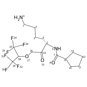 NCCCC[C@H](NC(=O)C1CCCC1)C(=O)COC(C(F)(F)F)C(F)(F)F